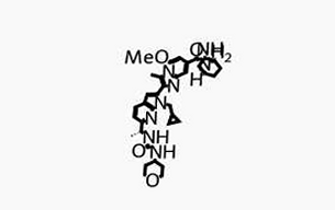 COc1cc(C(=O)N2[C@H]3CC[C@@H]2[C@H](N)C3)cc2nc(-c3cc4ccc([C@@H](C)NC(=O)NC5CCOCC5)nc4n3CC3CC3)c(C)n12